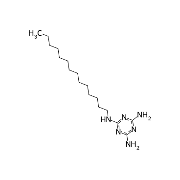 CCCCCCCCCCCCCCNc1nc(N)nc(N)n1